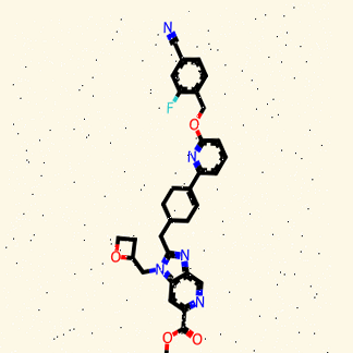 COC(=O)c1cc2c(cn1)nc(CC1CC=C(c3cccc(OCc4ccc(C#N)cc4F)n3)CC1)n2CC1CCO1